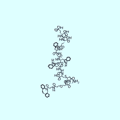 NC[C@H](C(=O)NCCOCCC(=O)NCCC(=O)N1Cc2ccccc2/C=C\c2ccccc21)N1C(=O)CC(SCC(NC(=O)CNC(=O)C(Cc2c[nH]c3ccccc23)NC(=O)C(Cc2c[nH]c3ccccc23)NC(=O)CNC(=O)C(Cc2ccccc2)NNC(=O)CC[C@H](NC(=O)N[C@@H](CCC(=O)O)C(=O)O)C(=O)O)C(=O)O)C1=O